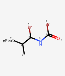 CCCCCC(C)C(Br)NC(=O)Br